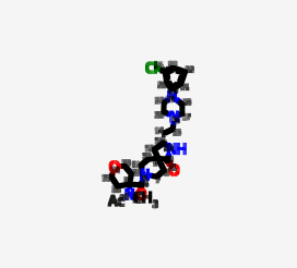 CC(=O)N(C)C1(C(=O)N2CCC3(CC2)C[C@H](CCN2CCN(c4cccc(Cl)c4)CC2)NC3=O)CCOCC1